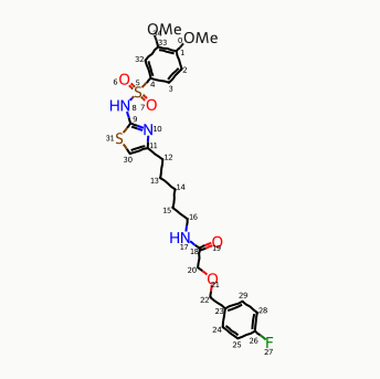 COc1ccc(S(=O)(=O)Nc2nc(CCCCCNC(=O)COCc3ccc(F)cc3)cs2)cc1OC